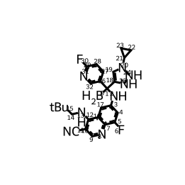 BC(Nc1cc(F)c2ncc(C#N)c(NCC(C)(C)C)c2c1)(C1=CN(C2CC2)NN1)c1ccc(F)nc1